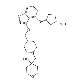 O[C@H]1CC[C@H](Oc2cccc3onc(OCC4CCN(CC5(O)CCOCC5)CC4)c23)C1